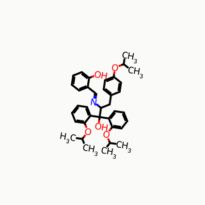 CC(C)Oc1ccc(CC(N=Cc2ccccc2O)C(O)(c2ccccc2OC(C)C)c2ccccc2OC(C)C)cc1